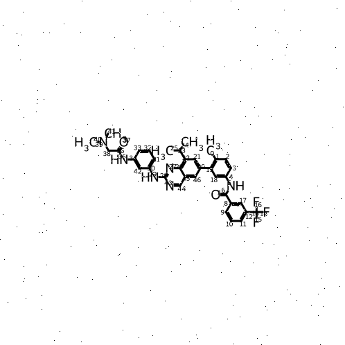 Cc1ccc(NC(=O)c2cccc(C(F)(F)F)c2)cc1-c1cc(C(C)C)c2nc(Nc3cccc(NC(=O)CN(C)C)c3)ncc2c1